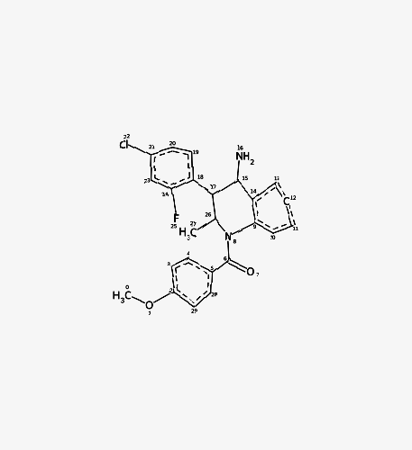 COc1ccc(C(=O)N2c3ccccc3C(N)C(c3ccc(Cl)cc3F)C2C)cc1